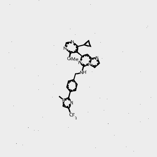 COc1ncnc(C2CC2)c1-c1cc2nccn2c(NCc2ccc(-c3nc(C(F)(F)F)cn3C)cc2)n1